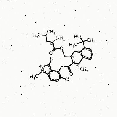 CC(C)C[C@H](N)C(=O)OC[C@H]1Cc2c(cccc2C(C)(C)O)[C@H](C)N1C(=O)Cc1c(Cl)ccc2c1c(Cl)nn2C